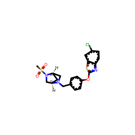 CS(=O)(=O)N1C[C@H]2C[C@@H]1CN2Cc1ccc(Oc2nc3ccc(Cl)cc3s2)cc1